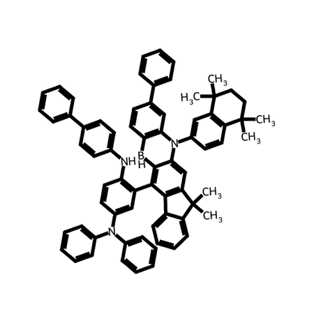 CC1(C)CCC(C)(C)c2cc(N3c4cc(-c5ccccc5)ccc4Bc4c3cc3c(c4-c4cc(N(c5ccccc5)c5ccccc5)ccc4Nc4ccc(-c5ccccc5)cc4)-c4ccccc4C3(C)C)ccc21